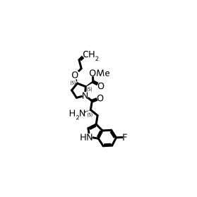 C=CCO[C@H]1CCN(C(=O)[C@@H](N)Cc2c[nH]c3ccc(F)cc23)[C@@H]1C(=O)OC